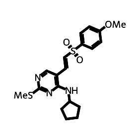 COc1ccc(S(=O)(=O)/C=C/c2cnc(SC)nc2NC2CCCC2)cc1